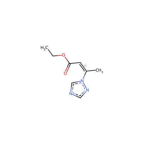 CCOC(=O)/C=C(/C)n1cncn1